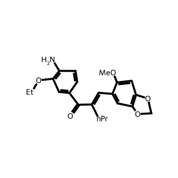 CCC/C(=C\c1cc2c(cc1OC)OCO2)C(=O)c1ccc(N)c(OCC)c1